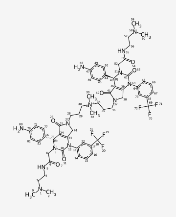 CN(C)CCNC(=O)CN1C(=O)N(c2cccc(C(F)(F)F)c2)C2=C(C(=O)N(CCC[N+](C)(C)CCCN3CC4=C(C3=O)[C@@H](c3ccc(N)cc3)N(CC(=O)NCCN(C)C)C(=O)N4c3cccc(C(F)(F)F)c3)C2)[C@H]1c1ccc(N)cc1